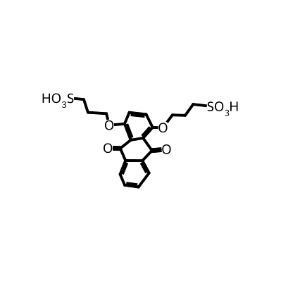 O=C1c2ccccc2C(=O)c2c(OCCCS(=O)(=O)O)ccc(OCCCS(=O)(=O)O)c21